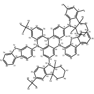 Cc1cc(C)c2c(c1)N(c1ccc3c(c1)N(c1cccc4c1sc1ccccc14)c1cc(N4c5ccc(C(C)(C)C)cc5C5(C)CCCCC45C)cc4c1B3c1ccc(C(C)(C)C)cc1N4c1ccc3c(c1)sc1ccccc13)C1(C)CCCCC21C